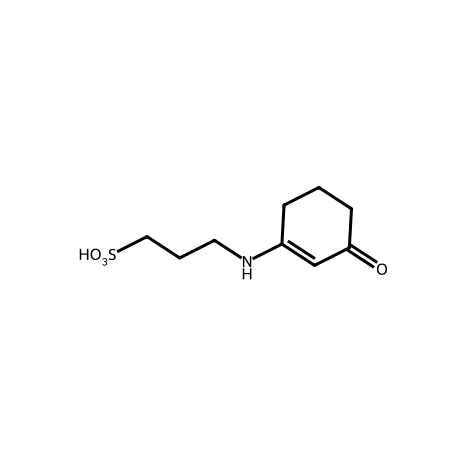 O=C1C=C(NCCCS(=O)(=O)O)CCC1